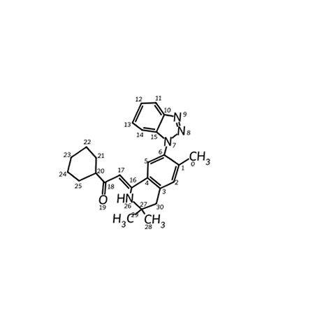 Cc1cc2c(cc1-n1nnc3ccccc31)/C(=C/C(=O)C1CCCCC1)NC(C)(C)C2